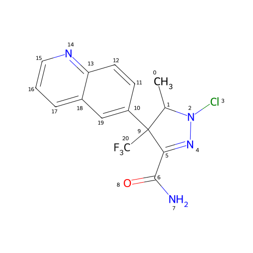 CC1N(Cl)N=C(C(N)=O)C1(c1ccc2ncccc2c1)C(F)(F)F